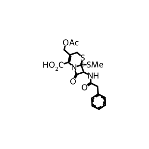 CS[C@]12SCC(COC(C)=O)=C(C(=O)O)N1C(=O)C2NC(=O)Cc1ccccc1